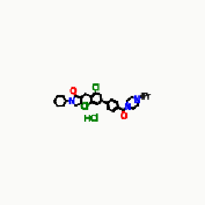 CC(C)N1CCN(C(=O)c2ccc(-c3cc(Cl)c(CC4CCN(C5CCCCC5)C4=O)c(Cl)c3)cc2)CC1.Cl